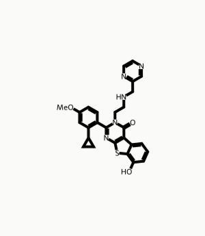 COc1ccc(-c2nc3sc4c(O)cccc4c3c(=O)n2CCNCc2cnccn2)c(C2CC2)c1